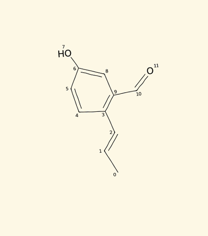 C/C=C/c1ccc(O)cc1C=O